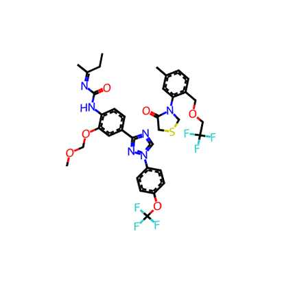 CCC(C)=NC(=O)Nc1ccc(-c2ncn(-c3ccc(OC(F)(F)F)cc3)n2)cc1OCOC.Cc1ccc(COCC(F)(F)F)c(N2CSCC2=O)c1